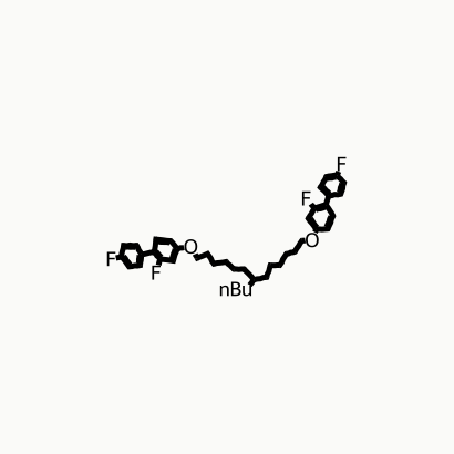 CCCCC(CCCCCCOc1ccc(-c2ccc(F)cc2)c(F)c1)CCCCCCOc1ccc(-c2ccc(F)cc2)c(F)c1